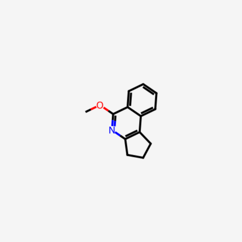 COc1nc2c(c3ccccc13)CCC2